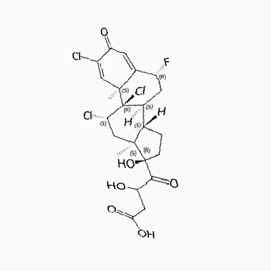 C[C@]12C=C(Cl)C(=O)C=C1[C@H](F)C[C@H]1[C@@H]3CC[C@](O)(C(=O)C(O)CC(=O)O)[C@@]3(C)C[C@H](Cl)[C@@]12Cl